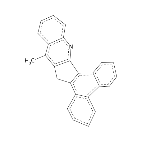 Cc1c2c(nc3ccccc13)-c1c(c3ccccc3c3ccccc13)C2